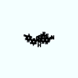 Cc1ccc(-c2cccc(C(=O)NC(Cc3ccc(C#N)c(F)c3)C(=O)OC(C)(C)C)c2)cc1